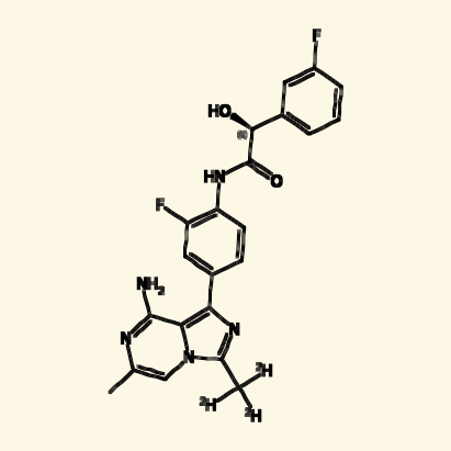 [2H]C([2H])([2H])c1nc(-c2ccc(NC(=O)[C@@H](O)c3cccc(F)c3)c(F)c2)c2c(N)nc(C)cn12